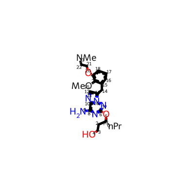 CCC[C@H](CCO)Oc1nc(N)c2ncc(Cc3cccc(OCCNC)c3OC)n2n1